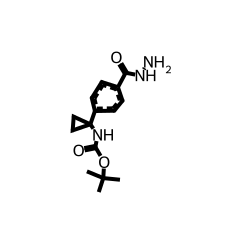 CC(C)(C)OC(=O)NC1(c2ccc(C(=O)NN)cc2)CC1